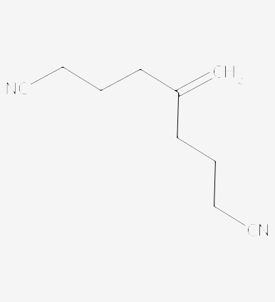 C=C(CCCC#N)CCCC#N